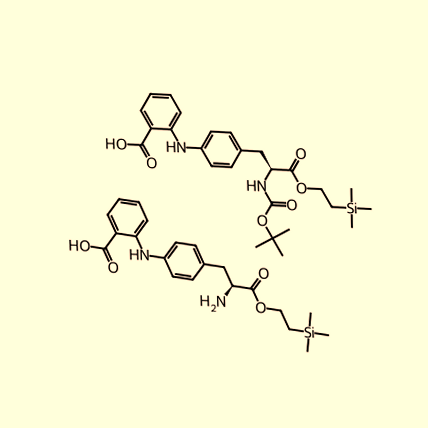 CC(C)(C)OC(=O)N[C@@H](Cc1ccc(Nc2ccccc2C(=O)O)cc1)C(=O)OCC[Si](C)(C)C.C[Si](C)(C)CCOC(=O)[C@@H](N)Cc1ccc(Nc2ccccc2C(=O)O)cc1